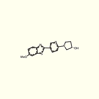 COc1ccc2nc(-c3ccc(N4CC[C@H](O)C4)nc3)sc2c1